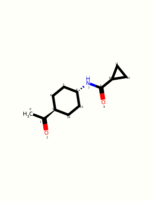 CC(=O)[C@H]1CC[C@H](NC(=O)C2CC2)CC1